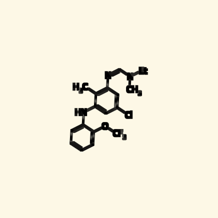 CCN(C)/C=N\c1cc(Cl)cc(Nc2ccccc2OC(F)(F)F)c1C